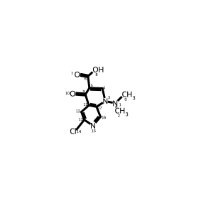 CN(C)n1cc(C(=O)O)c(=O)c2cc(Cl)ncc21